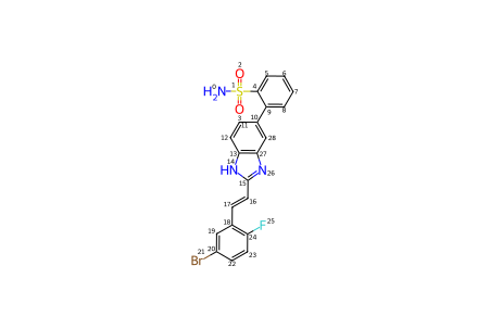 NS(=O)(=O)c1ccccc1-c1ccc2[nH]c(C=Cc3cc(Br)ccc3F)nc2c1